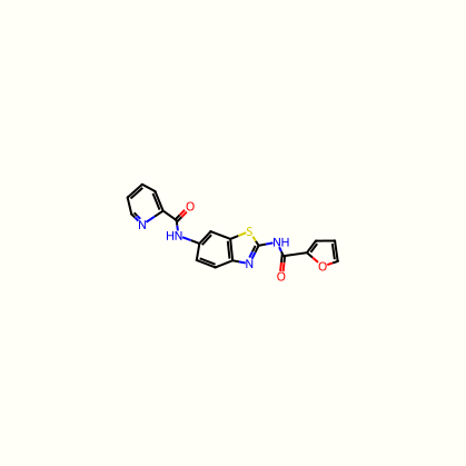 O=C(Nc1ccc2nc(NC(=O)c3ccco3)sc2c1)c1ccccn1